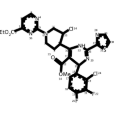 CCOC(=O)c1ccnc(N2CCC(C3=C(C(=O)OC)C(c4ccc(F)c(F)c4Cl)N=C(c4nccs4)N3)C(Cl)C2)n1